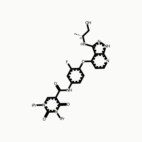 CC(C)n1cc(C(=O)Nc2ccc(Oc3ccnc4[nH]nc(N[C@H](C)CO)c34)c(F)c2)c(=O)n(C(C)C)c1=O